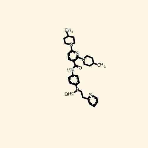 CC1CCN(c2ccc(C(=O)Nc3ccc(N(C=O)CCc4ccccn4)cc3)c(N3CCC(C)CC3)n2)CC1